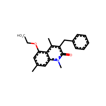 Cc1cc(OCC(=O)O)c2c(C)c(Cc3ccccc3)c(=O)n(C)c2c1